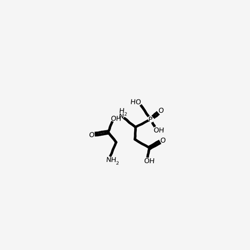 NC(CC(=O)O)P(=O)(O)O.NCC(=O)O